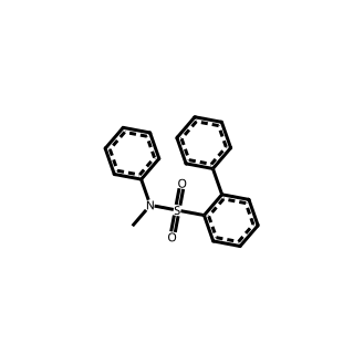 CN(c1ccccc1)S(=O)(=O)c1ccccc1-c1ccccc1